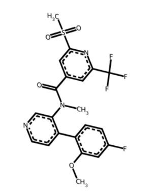 COc1cc(F)ccc1-c1ccncc1N(C)C(=O)c1cc(C(F)(F)F)nc(S(C)(=O)=O)c1